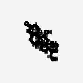 C[C@]12C=CC(=O)C=C1CC[C@@H]1[C@@H]2C(O)C[C@@]2(C)[C@H]1CC[C@]2(O)C(=O)[CH]O